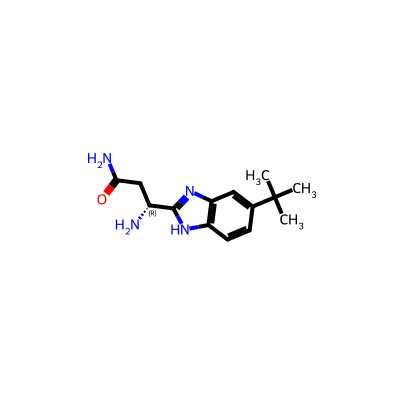 CC(C)(C)c1ccc2[nH]c([C@H](N)CC(N)=O)nc2c1